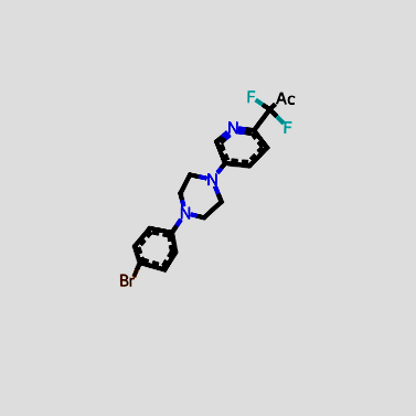 CC(=O)C(F)(F)c1ccc(N2CCN(c3ccc(Br)cc3)CC2)cn1